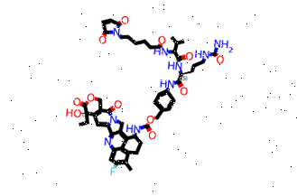 CC[C@@]1(O)C(=O)OCc2c1cc1n(c2=O)Cc2c-1nc1cc(F)c(C)c3c1c2[C@@H](NC(=O)OCc1ccc(NC(=O)[C@H](CCCNC(N)=O)NC(=O)C(NC(=O)CCCCCN2C(=O)C=CC2=O)C(C)C)cc1)CC3